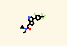 CCN(C(=O)CC1CCc2c(-c3ccc(C(F)(F)F)cc3F)cncc21)C1CC1